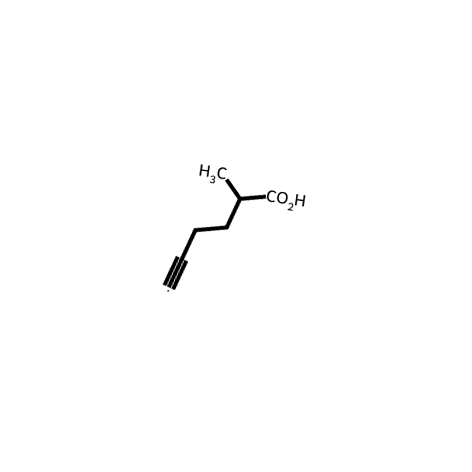 [C]#CCCC(C)C(=O)O